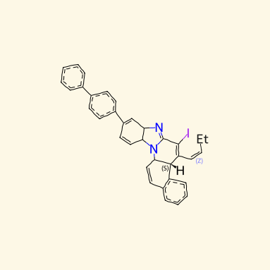 CC/C=C\C1=C(I)C2=NC3C=C(c4ccc(-c5ccccc5)cc4)C=CC3N2C2C=Cc3ccccc3[C@@H]12